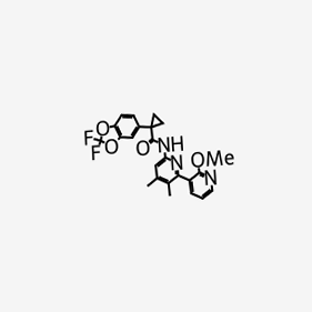 COc1ncccc1-c1nc(NC(=O)C2(c3ccc4c(c3)OC(F)(F)O4)CC2)cc(C)c1C